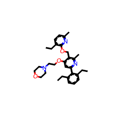 CCc1ccc(C)nc1OCc1c(OCCN2CCOCC2)cc(-c2c(CC)cccc2CC)nc1C